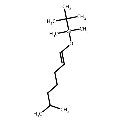 CC(C)CCCC=CO[Si](C)(C)C(C)(C)C